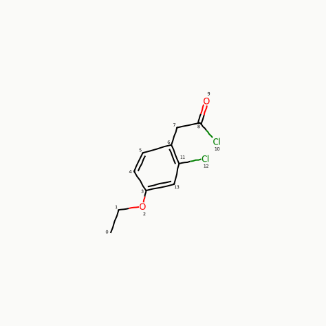 CCOc1ccc(CC(=O)Cl)c(Cl)c1